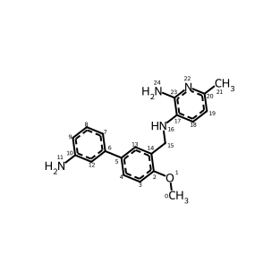 COc1ccc(-c2cccc(N)c2)cc1CNc1ccc(C)nc1N